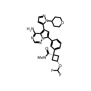 CNC(=O)[C@]1(c2cccc(-c3cc(-c4ccnn4C4CCOCC4)c4c(N)ncnn34)c2)C[C@H](OC(F)F)C1